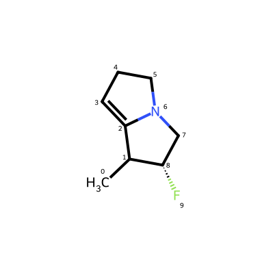 CC1C2=CCCN2C[C@@H]1F